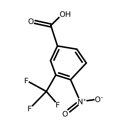 O=C(O)c1ccc([N+](=O)[O-])c(C(F)(F)F)c1